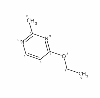 CCOc1ccnc(C)n1